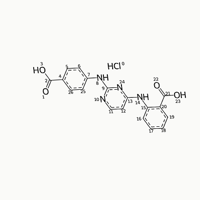 Cl.O=C(O)c1ccc(Nc2nccc(Nc3ccccc3C(=O)O)n2)cc1